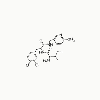 CCC(C)[C@@H](N)C(=O)N[C@@H](Cc1ccc(Cl)c(Cl)c1)C(=O)NCc1ccc(N)nc1